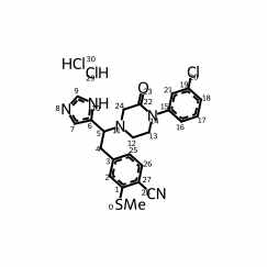 CSc1cc(CC(c2cnc[nH]2)N2CCN(c3cccc(Cl)c3)C(=O)C2)ccc1C#N.Cl.Cl